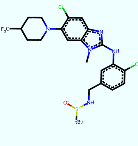 Cn1c(Nc2cc(CN[S+]([O-])C(C)(C)C)ccc2Cl)nc2cc(Cl)c(N3CCC(C(F)(F)F)CC3)cc21